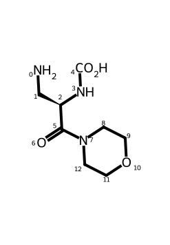 NC[C@@H](NC(=O)O)C(=O)N1CCOCC1